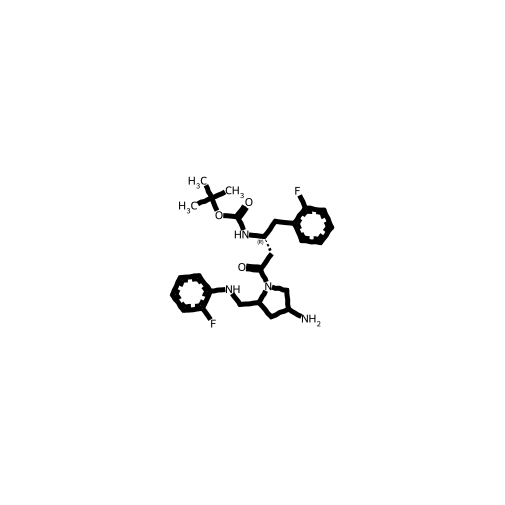 CC(C)(C)OC(=O)N[C@@H](CC(=O)N1CC(N)CC1CNc1ccccc1F)Cc1ccccc1F